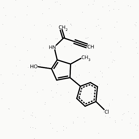 C#CC(=C)NC1=C(O)C=C(c2ccc(Cl)cc2)C1C